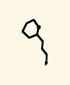 FCCCC1CCCCO1